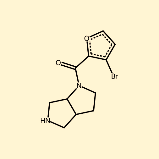 O=C(c1occc1Br)N1CCC2CNCC21